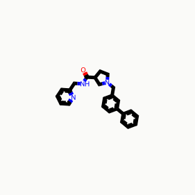 O=C(NCc1ccccn1)C1CCN(Cc2cccc(-c3ccccc3)c2)C1